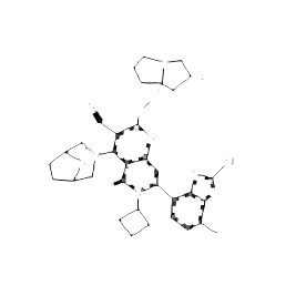 N#Cc1c(OC[C@@]23CCCN2C[C@H](F)C3)nc2cc(-c3ccc(F)c4sc(N)nc34)n(C3CCC3)c(=O)c2c1N1CC2CCC(C1)N2